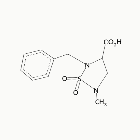 CN1CC(C(=O)O)N(Cc2ccccc2)S1(=O)=O